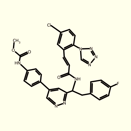 COC(=O)Nc1ccc(-c2cnnc(C(Cc3ccc(F)cc3)NC(=O)C=Cc3cc(Cl)ccc3-n3cnnn3)c2)cc1